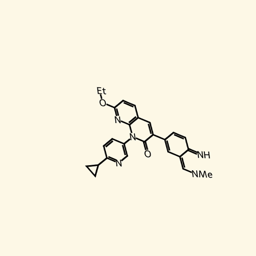 CCOc1ccc2cc(C3=C/C(=C/NC)C(=N)C=C3)c(=O)n(-c3ccc(C4CC4)nc3)c2n1